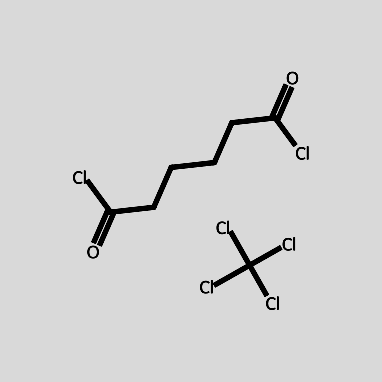 ClC(Cl)(Cl)Cl.O=C(Cl)CCCCC(=O)Cl